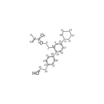 C=C(C)C(=O)OCCc1cc(C2CCCCC2)ccc1-c1ccc(CCO)cc1